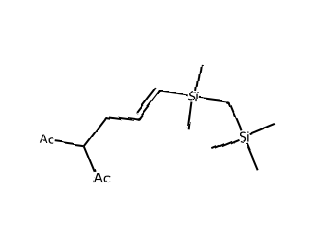 CC(=O)C(CC=C[Si](C)(C)C[Si](C)(C)C)C(C)=O